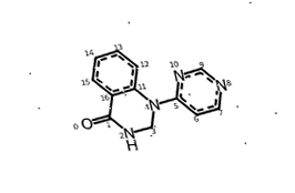 O=C1NCN(c2ccncn2)c2ccccc21